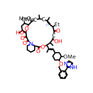 CCC1/C=C(\C)CC(C)CC(OC)C2OC(O)(C(=O)C(=O)N3CCCCC3C(=O)OC(C(C)=CC3CCC(OCc4ccccc4-c4ncc[nH]4)C(OC)C3)C(C)C(O)CC1=O)C(C)CC2OC